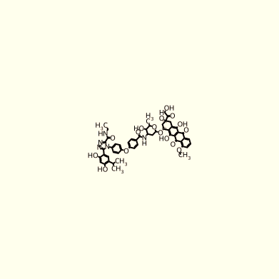 CCNC(=O)c1nnc(-c2cc(C(C)C)c(O)cc2O)n1-c1ccc(Oc2ccc(C(=O)NC3CC(O[C@H]4C[C@](O)(C(=O)CO)Cc5c(O)c6c(c(O)c54)C(=O)c4c(OC)cccc4C6=O)OC(C)C3O)cc2)cc1